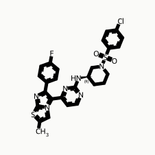 Cc1cn2c(-c3ccnc(N[C@@H]4CCCN(S(=O)(=O)c5ccc(Cl)cc5)C4)n3)c(-c3ccc(F)cc3)nc2s1